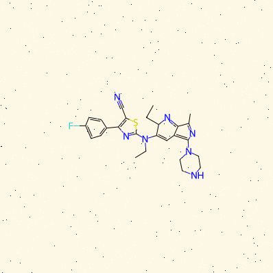 CCC1N=C2C(C)=NC(N3CCNCC3)=C2C=C1N(CC)c1nc(-c2ccc(F)cc2)c(C#N)s1